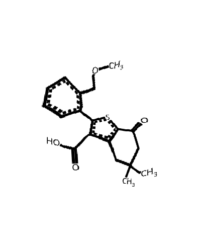 COCc1ccccc1-c1sc2c(c1C(=O)O)CC(C)(C)CC2=O